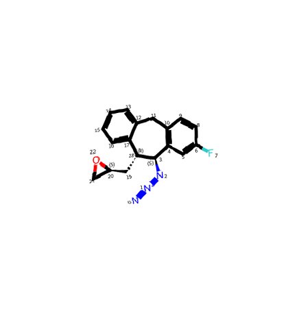 [N-]=[N+]=N[C@@H]1c2cc(F)ccc2Cc2ccccc2[C@H]1C[C@H]1CO1